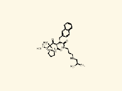 COC(C)(C)C(=O)N(C(=O)[C@@H]1CCCN1)[C@H](Cc1ccc2ccccc2c1)C(=O)NCCCNCC(C)C.Cl